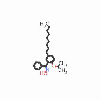 CCCCCCCCCc1ccc(OC(C)C)c(C(=NO)c2ccccc2)c1